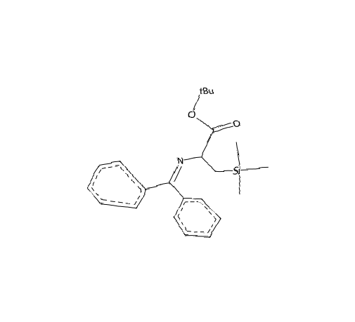 CC(C)(C)OC(=O)C(C[Si](C)(C)C)N=C(c1ccccc1)c1ccccc1